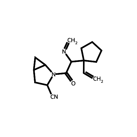 C=CC1(C(N=C)C(=O)N2C(C#N)CC3CC32)CCCC1